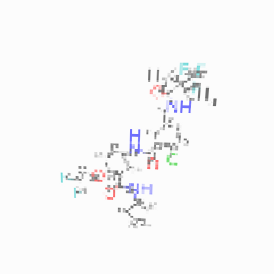 CC(C)(C(=O)NCc1ccc(Cl)c(C(=O)Nc2ccc(OCC(F)F)c(C(=O)NC3CCCC3)c2)c1)C(F)(F)F